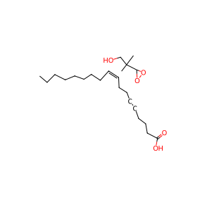 CC(C)(CO)C1OO1.CCCCCCCC/C=C\CCCCCCCC(=O)O